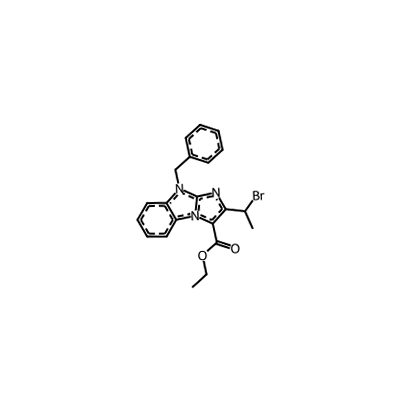 CCOC(=O)c1c(C(C)Br)nc2n(Cc3ccccc3)c3ccccc3n12